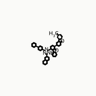 CC1C=Cc2oc3ccc(-c4ccc(C5=NC(c6ccc(-c7ccccc7)cc6)=NC(c6ccc7ccccc7c6)N5)c5c4oc4ccccc45)cc3c2C1